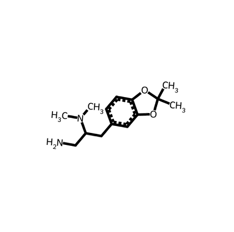 CN(C)C(CN)Cc1ccc2c(c1)OC(C)(C)O2